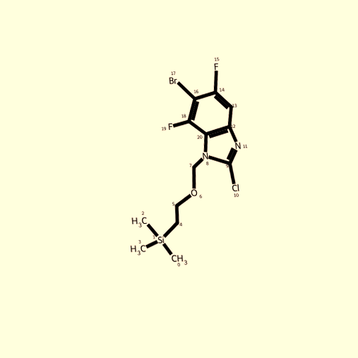 C[Si](C)(C)CCOCn1c(Cl)nc2cc(F)c(Br)c(F)c21